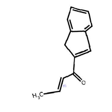 C/C=C/C(=O)C1=Cc2ccccc2C1